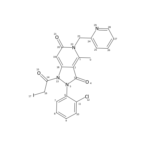 Cc1c2c(=O)n(-c3ccccc3Cl)n(C(=O)CI)c2cc(=O)n1Cc1ccccn1